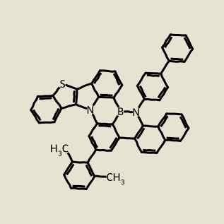 Cc1cccc(C)c1-c1cc2c3c(c1)-n1c4c(cccc4c4sc5ccccc5c41)B3N(c1ccc(-c3ccccc3)cc1)c1c-2ccc2ccccc12